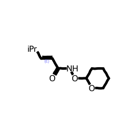 CC(C)/C=C/C(=O)NOC1CCCCO1